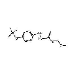 COC=CC(=O)NNc1ccc(OC(F)(F)F)cc1